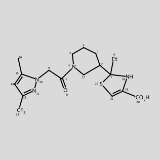 CCC1(C2CCCN(C(=O)Cn3nc(C(F)(F)F)cc3C)C2)NC(C(=O)O)=CS1